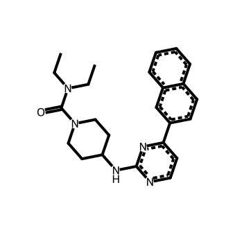 CCN(CC)C(=O)N1CCC(Nc2nccc(-c3ccc4ccccc4c3)n2)CC1